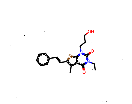 CCn1c(=O)c2c(C)c(C=Cc3ccccc3)sc2n(CCCO)c1=O